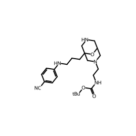 CC(C)(C)OC(=O)NCCN1CC2CNCC(CCCNc3ccc(C#N)cc3)(C1)O2